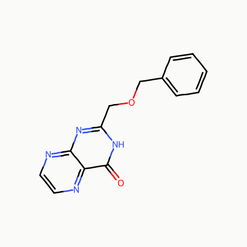 O=c1[nH]c(COCc2ccccc2)nc2nccnc12